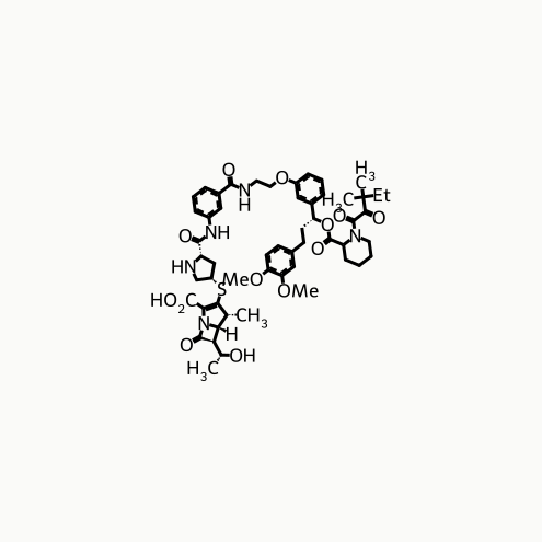 CCC(C)(C)C(=O)C(=O)N1CCCCC1C(=O)O[C@H](CCc1ccc(OC)c(OC)c1)c1cccc(OCCNC(=O)c2cccc(NC(=O)[C@@H]3C[C@H](SC4=C(C(=O)O)N5C(=O)[C@H]([C@@H](C)O)[C@H]5[C@H]4C)CN3)c2)c1